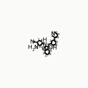 N#Cc1ccc(NC(=O)C(O)(Cc2cccc(-c3cccnc3)c2)c2ccccc2)cc1N